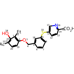 CCc1c(OCc2cccc(Sc3ccc(C(=O)O)nc3)c2)ccc(C(C)=O)c1O